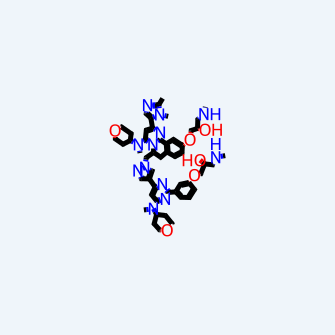 CNCC(O)COc1cccc(-c2nc(-c3cnn(CC(C)Cc4ccc(OCC(O)CNC)cc4-c4nc(-c5cnc(C)n5C)cc(N(C)C5CCOCC5)n4)c3)cc(N(C)C3CCOCC3)n2)c1